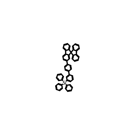 c1ccc([Si](c2ccccc2)(c2ccccc2)c2cccc(-c3ccc(-c4ccc5c(c4)C4(c6ccccc6-c6ccccc64)c4ccccc4-5)cc3)c2)cc1